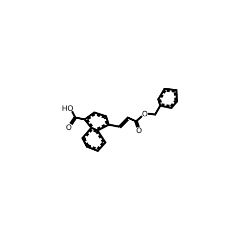 O=C(C=Cc1ccc(C(=O)O)c2ccccc12)OCc1ccccc1